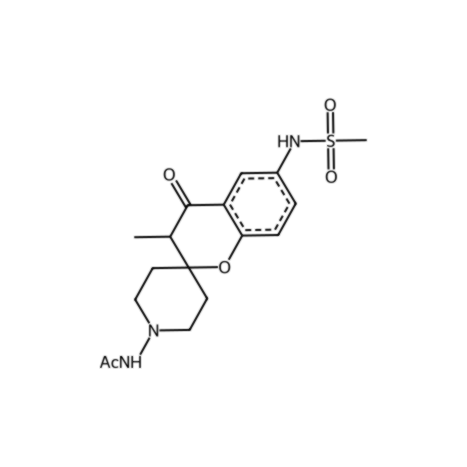 CC(=O)NN1CCC2(CC1)Oc1ccc(NS(C)(=O)=O)cc1C(=O)C2C